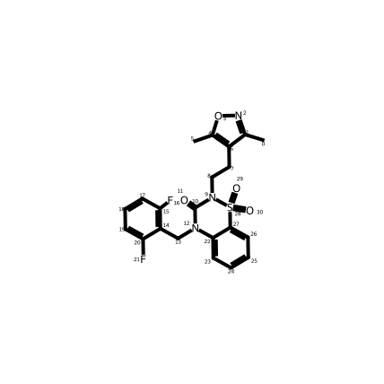 Cc1noc(C)c1CCN1C(=O)N(Cc2c(F)cccc2F)c2ccccc2S1(=O)=O